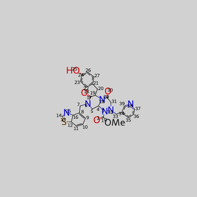 COC(=O)N1C2CN(CC3=CC=CC4SC=NC34)C(=O)C(Cc3ccc(O)cc3)N2C(=O)CN1Cc1cccnc1